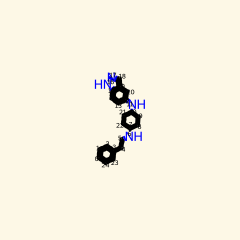 c1ccc(CCN[C@H]2CC[C@H](Nc3ccc4[nH]ncc4c3)CC2)cc1